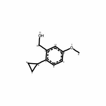 COc1ccc(C2CC2)c([CH]O)c1